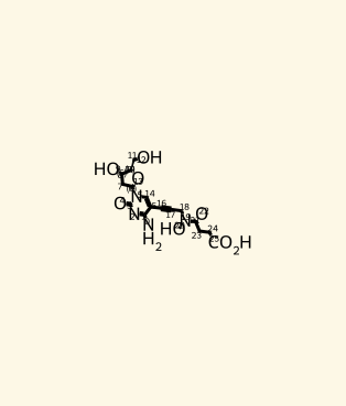 Nc1nc(=O)n([C@H]2C[C@H](O)[C@@H](CO)O2)cc1C#CCN(O)C(=O)CCC(=O)O